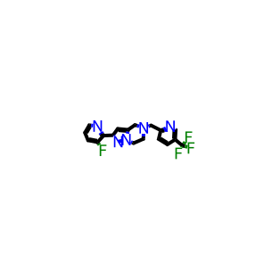 Fc1cccnc1-c1cc2n(n1)CCN(Cc1ccc(C(F)(F)F)cn1)C2